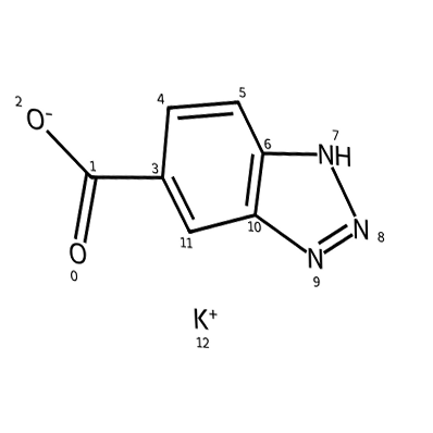 O=C([O-])c1ccc2[nH]nnc2c1.[K+]